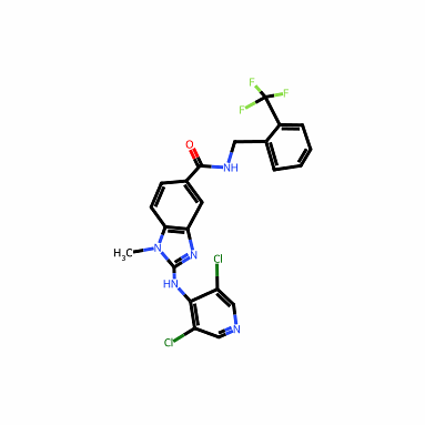 Cn1c(Nc2c(Cl)cncc2Cl)nc2cc(C(=O)NCc3ccccc3C(F)(F)F)ccc21